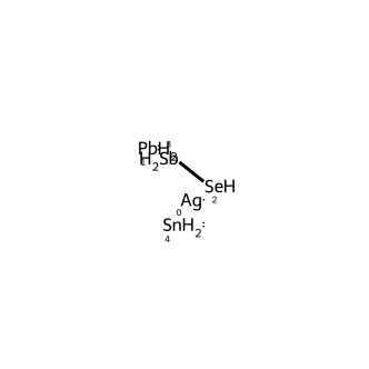 [Ag].[PbH2].[SeH][SbH2].[SnH2]